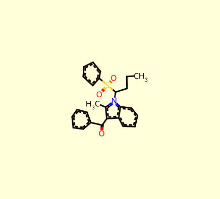 CCCC(n1c(C)c(C(=O)c2ccccc2)c2ccccc21)S(=O)(=O)c1ccccc1